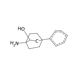 NC12CCC(c3ccccc3)(CC1)CC2O